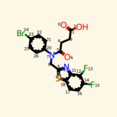 O=C(O)CCC(=O)N(Cc1nc2c(F)c(F)ccc2s1)c1ccc(Br)cc1